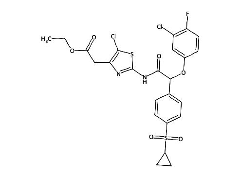 CCOC(=O)Cc1nc(NC(=O)C(Oc2ccc(F)c(Cl)c2)c2ccc(S(=O)(=O)C3CC3)cc2)sc1Cl